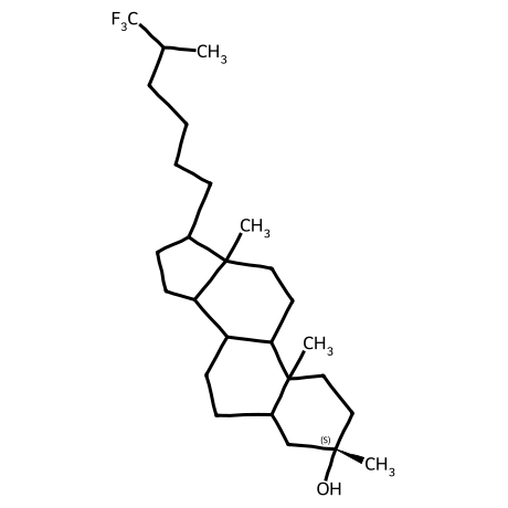 CC(CCCCC1CCC2C3CCC4C[C@@](C)(O)CCC4(C)C3CCC12C)C(F)(F)F